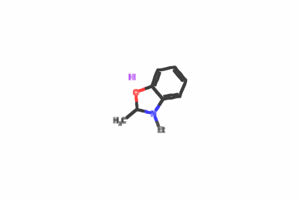 CCN1c2ccccc2OC1C.I